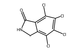 O=C1N[C]c2c(Cl)c(Cl)c(Cl)c(Cl)c21